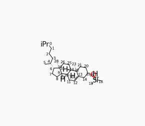 CC(C)CCCC(C)[C@H]1CC[C@H]2[C@@H]3CC=C4C[C@@H](O[SiH](C)C)CC[C@]4(C)[C@H]3CC[C@]12C